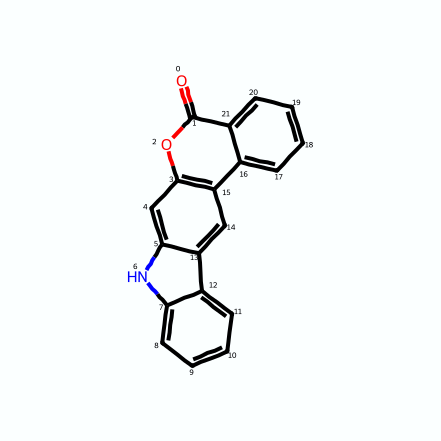 O=c1oc2cc3[nH]c4ccccc4c3cc2c2ccccc12